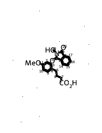 COc1ccc(CCCC(=O)O)cc1.O=C1c2ccccc2C(=O)N1O